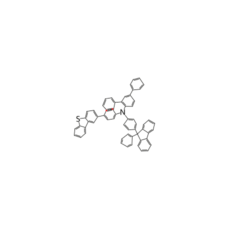 c1ccc(-c2ccc(N(c3ccc(-c4ccc5sc6ccccc6c5c4)cc3)c3ccc(C4(c5ccccc5)c5ccccc5-c5ccccc54)cc3)c(-c3ccccc3)c2)cc1